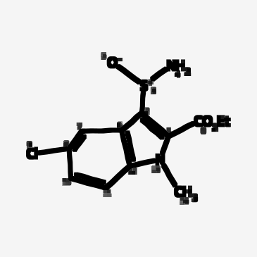 CCOC(=O)c1c([S+](N)[O-])c2cc(Cl)ccc2n1C